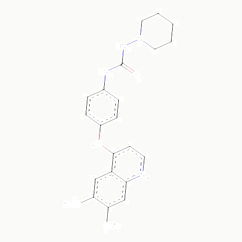 COc1cc2nccc(Oc3ccc(NC(=O)NN4CCCCC4)cc3)c2cc1OC